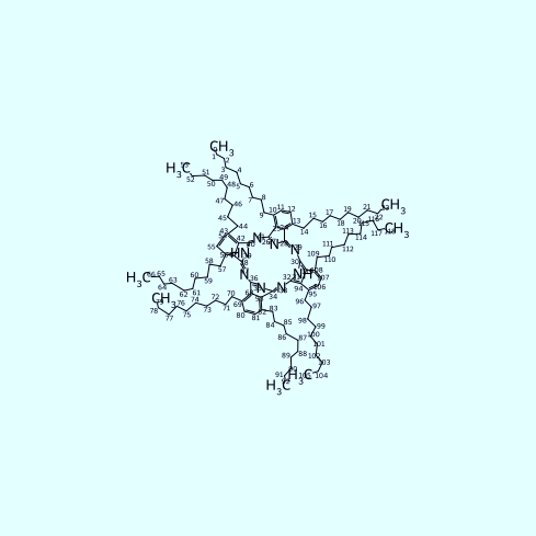 CCCCCCCCCCc1ccc(CCCCCCCCCC)c2c1-c1nc-2nc2[nH]c(nc3nc(nc4[nH]c(n1)c1c(CCCCCCCCCC)ccc(CCCCCCCCCC)c41)-c1c(CCCCCCCCCC)ccc(CCCCCCCCCC)c1-3)c1c(CCCCCCCCCC)ccc(CCCCCCCCCC)c21